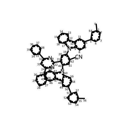 Cc1cccc(-c2ccc3c(c2)c2ccccc2n3-c2cc(-c3nc(-c4ccccc4)cc(-c4ccccc4)n3)c(-n3c4ccccc4c4cc(-c5cccc(C)c5)ccc43)cc2C#N)c1